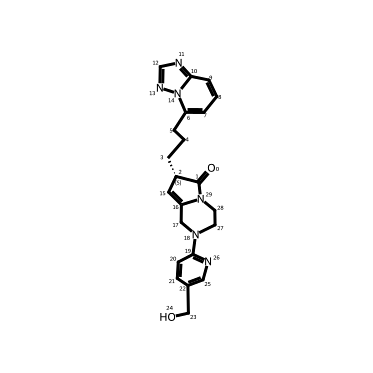 O=C1[C@@H](CCCc2cccc3ncnn23)C=C2CN(c3ccc(CO)cn3)CCN12